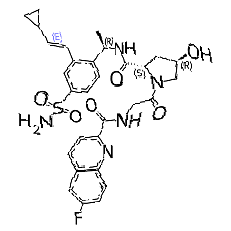 C[C@@H](NC(=O)[C@@H]1C[C@@H](O)CN1C(=O)CNC(=O)c1ccc2cc(F)ccc2n1)c1ccc(S(N)(=O)=O)cc1/C=C/C1CC1